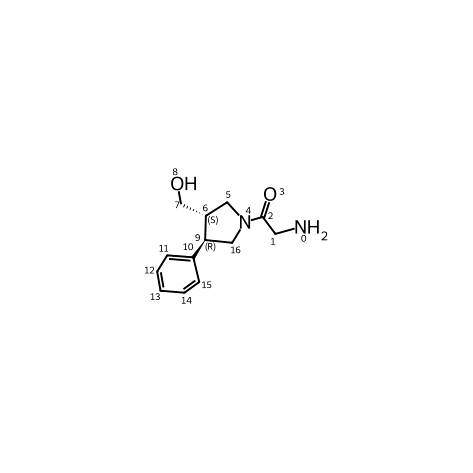 NCC(=O)N1C[C@@H](CO)[C@H](c2ccccc2)C1